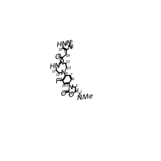 CNC[C@H]1CN(c2ccc(N3CCNN(C(=O)Cc4c[nH]nn4)CC3)c(F)c2)C(=O)O1